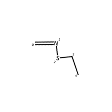 C=NSCC